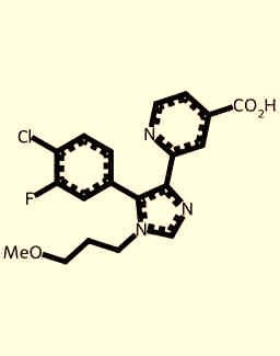 COCCCn1cnc(-c2cc(C(=O)O)ccn2)c1-c1ccc(Cl)c(F)c1